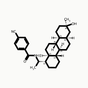 CC[C@]12CC[C@H]3[C@@H](CC[C@@H]4C[C@](C)(O)CC[C@@H]43)[C@@H]1CCC[C@@H]2C(C)NC(=O)c1ccc(C#N)cc1